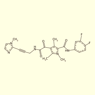 Cc1c(C(=O)C(=O)NCC#Cc2nccn2C)c(C)n(C)c1C(=O)Nc1ccc(F)c(F)c1